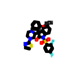 CCOc1ccccc1C1(C2CN(c3nccs3)CCN2C(=O)O)C(=O)N(S(=O)(=O)c2ccc(F)cc2F)c2ccc(C#N)cc21